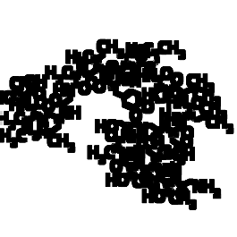 CC[C@H](C)[C@H](NC(=O)[C@H](Cc1ccc(O)cc1)NC(=O)[C@H](CO)NC(=O)[C@H](CC(C)C)NC(=O)[C@@H]1CCCN1C(=O)[C@@H](NC(=O)[C@H](CC(C)C)NC(=O)[C@H](CC(=O)O)NC(=O)CNC(=O)[C@H](CO)NC(=O)[C@H](C)NC(=O)[C@@H](NC(=O)[C@@H](NC(=O)[C@@H](NC(=O)CN)[C@@H](C)O)[C@@H](C)CC)[C@@H](C)O)C(C)C)C(=O)N[C@@H](C)C(=O)NCC(=O)N[C@@H](CC(C)C)C(=O)N[C@H](C(=O)N[C@H](C(=O)O)[C@@H](C)O)[C@@H](C)CC